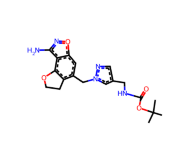 CC(C)(C)OC(=O)NCc1cnn(Cc2cc3onc(N)c3c3c2CCO3)c1